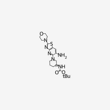 CC(C)(C)OC(=O)N[C@H]1CCCN(c2nc3nc(N4CCOCC4)sc3cc2N)C1